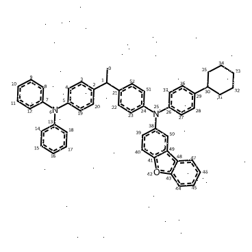 CC(c1ccc(N(c2ccccc2)c2ccccc2)cc1)c1ccc(N(c2ccc(C3CCCCC3)cc2)c2ccc3oc4ccccc4c3c2)cc1